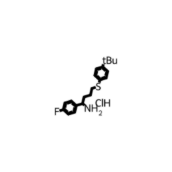 CC(C)(C)c1ccc(SCCCC(N)c2ccc(F)cc2)cc1.Cl